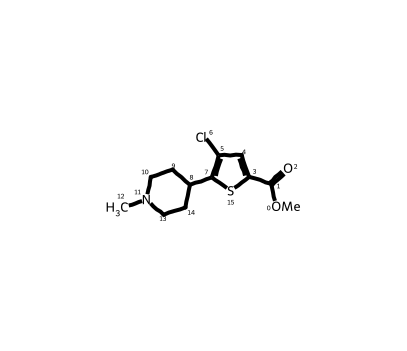 COC(=O)c1cc(Cl)c(C2CCN(C)CC2)s1